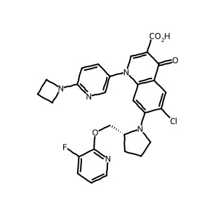 O=C(O)c1cn(-c2ccc(N3CCC3)nc2)c2cc(N3CCC[C@@H]3COc3ncccc3F)c(Cl)cc2c1=O